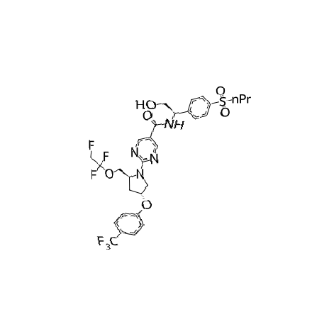 CCCS(=O)(=O)c1ccc([C@H](CO)NC(=O)c2cnc(N3C[C@H](Oc4ccc(C(F)(F)F)cc4)C[C@H]3COC(F)(F)CF)nc2)cc1